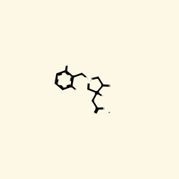 Cc1cccc(Cl)c1CN1CC(C)C(CC(=O)OC(C)(C)C)(C(=O)O)C1